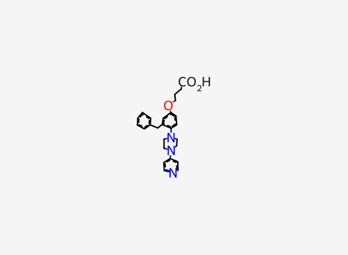 O=C(O)CCCOc1ccc(N2CCN(c3ccncc3)CC2)c(Cc2ccccc2)c1